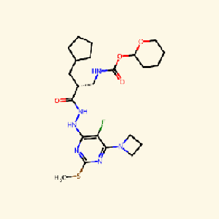 CSc1nc(NNC(=O)[C@@H](CNC(=O)OC2CCCCO2)CC2CCCC2)c(F)c(N2CCC2)n1